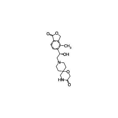 Cc1c([C@@H](O)CN2CCC3(CC2)CNC(=O)CO3)ccc2c1COC2=O